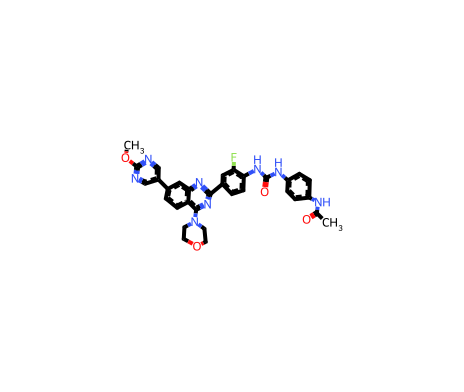 COc1ncc(-c2ccc3c(N4CCOCC4)nc(-c4ccc(NC(=O)Nc5ccc(NC(C)=O)cc5)c(F)c4)nc3c2)cn1